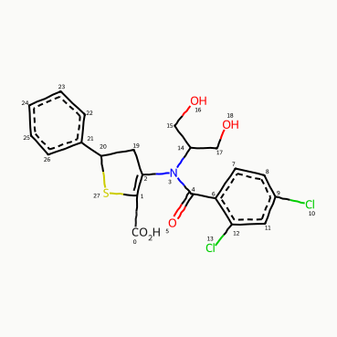 O=C(O)C1=C(N(C(=O)c2ccc(Cl)cc2Cl)C(CO)CO)CC(c2ccccc2)S1